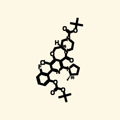 C[C@H]1CCCN1c1nc(-c2c(F)cccc2OC(=O)OC(C)(C)C)c(Cl)c2c1C(=O)N1CCN(C(=O)OC(C)(C)C)C[C@@H]1CO2